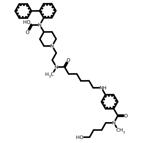 CN(CCN1CCC(N(C(=O)O)c2ccccc2-c2ccccc2)CC1)C(=O)CCCCCNc1ccc(C(=O)N(C)CCCCO)cc1